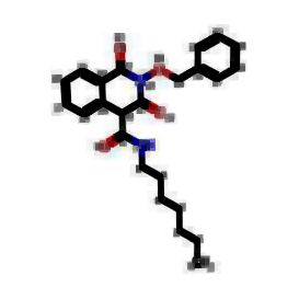 CCCCCCCNC(=O)C1C(=O)N(OCc2ccccc2)C(=O)c2ccccc21